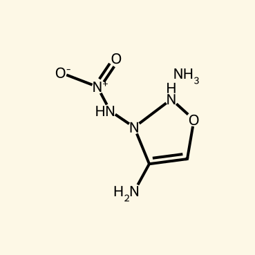 N.NC1=CONN1N[N+](=O)[O-]